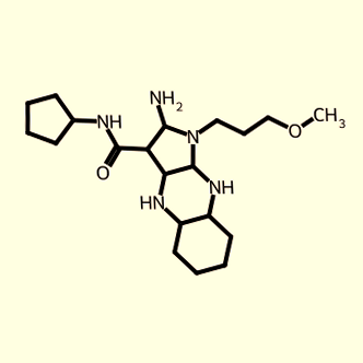 COCCCN1C(N)C(C(=O)NC2CCCC2)C2NC3CCCCC3NC21